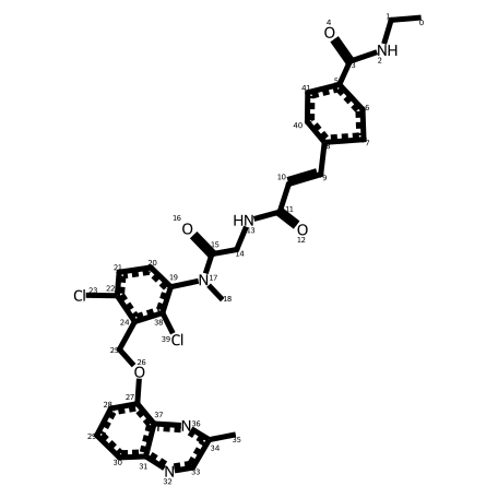 CCNC(=O)c1ccc(C=CC(=O)NCC(=O)N(C)c2ccc(Cl)c(COc3cccc4ncc(C)nc34)c2Cl)cc1